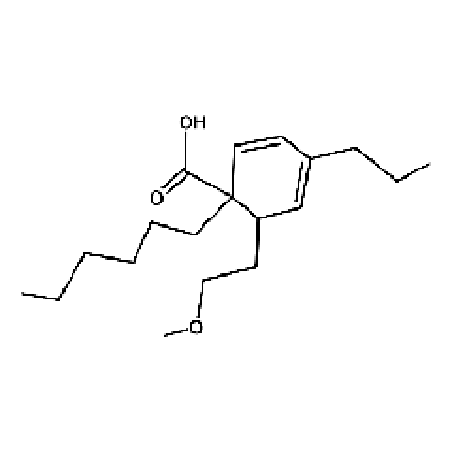 CCCCCCC1(C(=O)O)C=CC(CCC)=CC1CCOC